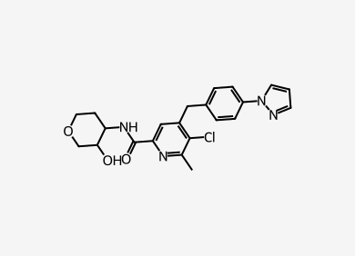 Cc1nc(C(=O)NC2CCOCC2O)cc(Cc2ccc(-n3cccn3)cc2)c1Cl